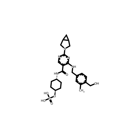 Cc1cc(CNc2nc(N3CC4CC4C3)ncc2C(=O)N[C@H]2CC[C@H](OP(=O)(O)O)CC2)ccc1CO